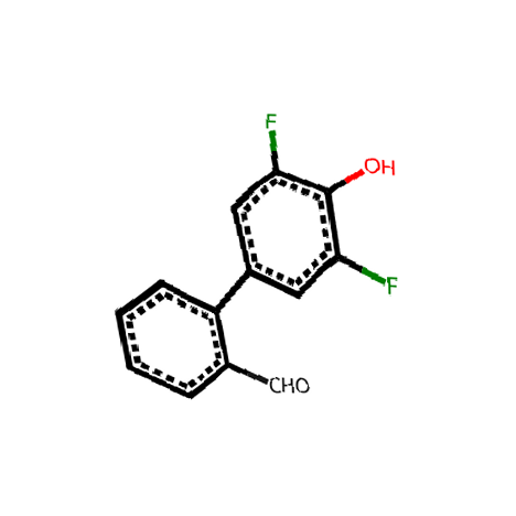 O=Cc1ccccc1-c1cc(F)c(O)c(F)c1